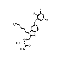 CCOCCn1c(CN[C@@H](C)C(N)=O)nc2ccc(Oc3cc(F)cc(F)c3F)cc21